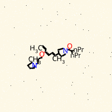 C\C=C/C(=C\C=C(/C)C1CCN(C(=O)C(CCC)CCC)CC1)OCCCN1CCC[C@H]1C